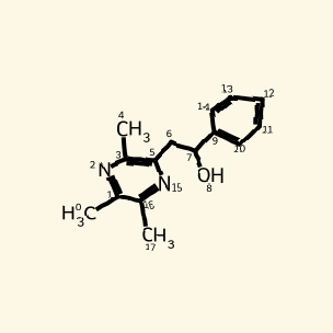 Cc1nc(C)c(CC(O)c2ccccc2)nc1C